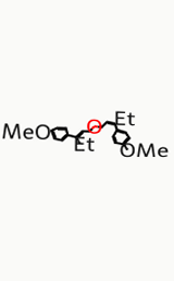 CCC(=CCOCC=C(CC)c1ccc(OC)cc1)c1ccc(OC)cc1